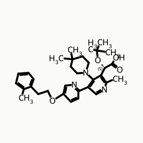 Cc1ccccc1CCOc1ccc(-c2cnc(C)c([C@H](OC(C)(C)C)C(=O)O)c2N2CCC(C)(C)CC2)nc1